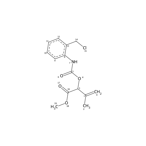 C=C(C)C(OC(=O)Nc1ccccc1CCl)C(=O)OC